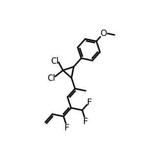 C=C/C(F)=C(\C=C(/C)C1C(c2ccc(OC)cc2)C1(Cl)Cl)C(F)F